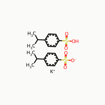 CC(C)c1ccc(S(=O)(=O)O)cc1.CC(C)c1ccc(S(=O)(=O)[O-])cc1.[K+]